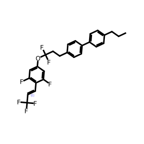 CCCc1ccc(-c2ccc(CCC(F)(F)Oc3cc(F)c(/C=C/C(F)(F)F)c(F)c3)cc2)cc1